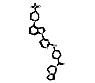 CS(=O)(=O)C1CCN(c2cccc3c2ccn3-c2ccnc(NC3CCC(C(=O)N4CCN5CCC=C5C4)CC3)n2)CC1